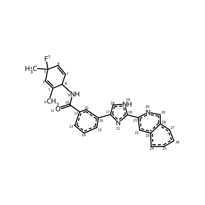 CC1=CC(C)(F)C=CC1NC(=O)c1cccc(-c2c[nH]c(-c3cc4ccccc4cn3)n2)c1